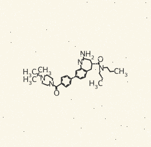 CCCN(CCC)C(=O)C1CC(N)=Nc2cc(-c3ccc(C(=O)N4CCN(C(C)(C)C)CC4)cc3)ccc2C1